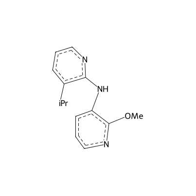 COc1ncccc1Nc1ncccc1C(C)C